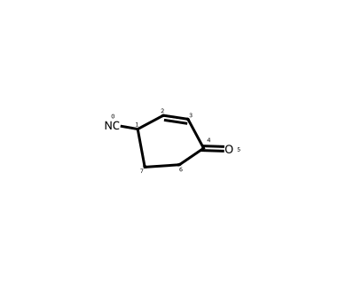 N#CC1C=CC(=O)CC1